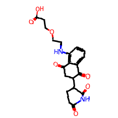 O=C(O)CCOCCNc1cccc2c1C(=O)CC(C1CCC(=O)NC1=O)C2=O